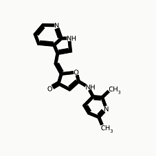 Cc1ccc(NC2=CC(=O)C(=Cc3c[nH]c4ncccc34)O2)c(C)n1